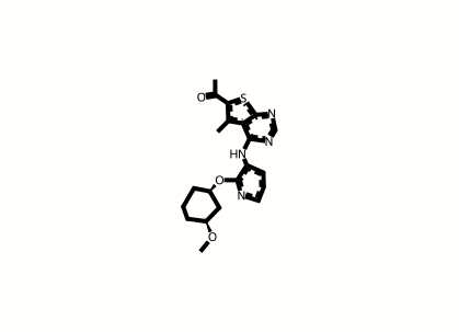 CO[C@H]1CCC[C@@H](Oc2ncccc2Nc2ncnc3sc(C(C)=O)c(C)c23)C1